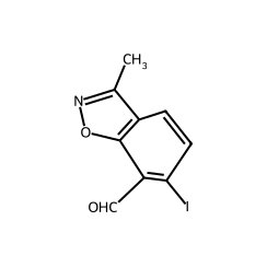 Cc1noc2c(C=O)c(I)ccc12